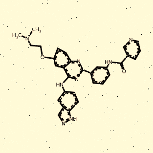 CN(C)CCOc1ccc2nc(-c3cccc(NC(=O)c4cccnc4)c3)nc(Nc3ccc4[nH]ncc4c3)c2c1